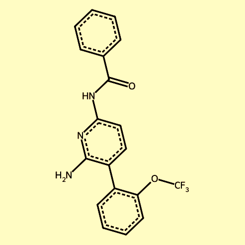 Nc1nc(NC(=O)c2ccccc2)ccc1-c1ccccc1OC(F)(F)F